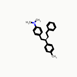 Cc1ccc([C@H](CCc2ccccc2)Cc2ccc(N(C)C)cc2)cc1